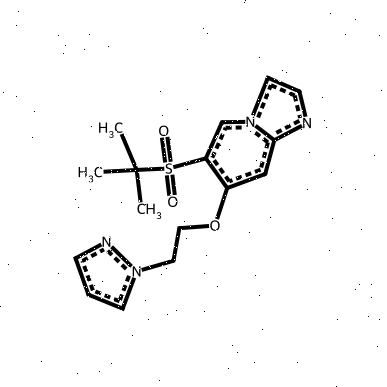 CC(C)(C)S(=O)(=O)c1cn2ccnc2cc1OCCn1cccn1